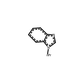 CCCn1cnc2ccccc21